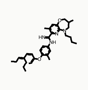 C\C=C(/C=C\C(=C\CC)CCC)Oc1ccc(NC(=N)c2nc3c(cc2C)OCC(C)CN3CCCC)cc1C